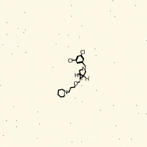 Clc1cc(Cl)cc(CN2C[C@@H]3[C@H](COCCCN4CCCCC4)[C@@H]3C2)c1